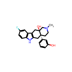 CN1CC[C@@]2(c3cccc(O)c3)Cc3[nH]c4ccc(F)cc4c3C[C@]2(O)C1